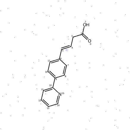 O=C(O)C/C=C/c1ccc(-c2ccccn2)cc1